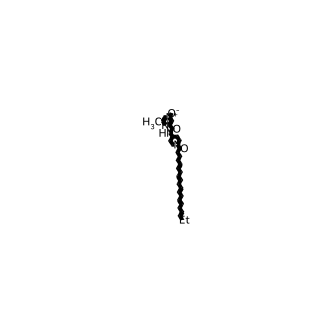 CCC=CCC=CCC=CCC=CCC=CCCCC(=O)N1CCC(NC(=O)c2c[n+]([O-])cc(C)n2)CC1